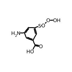 Nc1cc(SOOO)cc(C(=O)O)c1